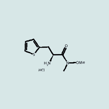 CON(C)C(=O)[C@@H](N)Cc1cccs1.Cl